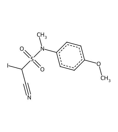 COc1ccc(N(C)S(=O)(=O)C(I)C#N)cc1